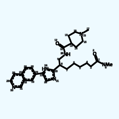 CNC(=O)CCCCCC(CNC(=O)C1CCN(C)CC1)c1ncc(-c2ccc3ccncc3c2)[nH]1